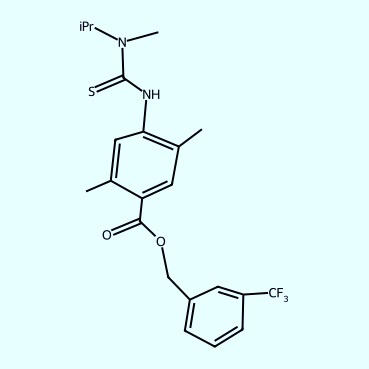 Cc1cc(C(=O)OCc2cccc(C(F)(F)F)c2)c(C)cc1NC(=S)N(C)C(C)C